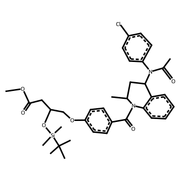 COC(=O)CC(COc1ccc(C(=O)N2c3ccccc3C(N(C(C)=O)c3ccc(Cl)cc3)CC2C)cc1)O[Si](C)(C)C(C)(C)C